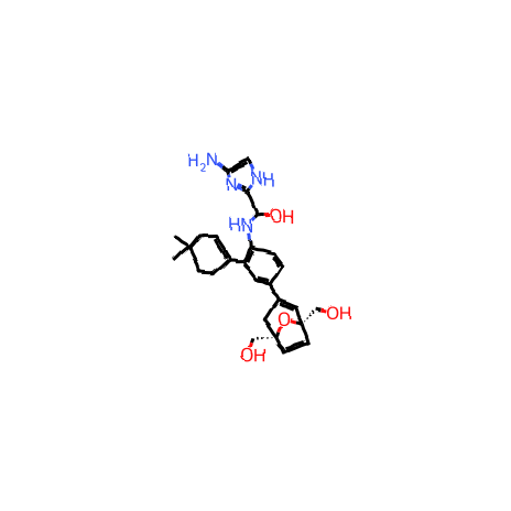 CC1(C)CC=C(c2cc(C3=C[C@@]4(CO)C=C[C@@](CO)(C3)O4)ccc2NC(O)c2nc(N)c[nH]2)CC1